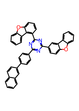 c1ccc2cc(-c3ccc(-c4nc(-c5ccc6oc7ccccc7c6c5)nc(-c5cccc6oc7ccccc7c56)n4)cc3)ccc2c1